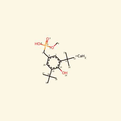 COP(=O)(O)Cc1cc(C(C)(C)C)c(O)c(C(C)(C)C)c1.[CaH2]